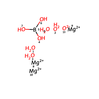 O.O.O.O.OB(O)O.[Mg+2].[Mg+2].[Mg+2].[O-2]